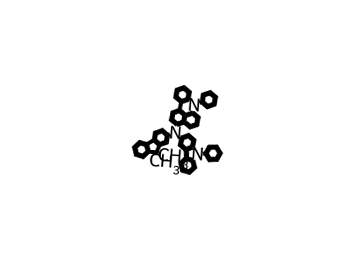 CC1(C)c2ccccc2-c2ccc(N(c3ccc4c(c3)c3ccccc3n4-c3ccccc3)c3ccc4c5c(cccc35)N(c3ccccc3)c3ccccc3-4)cc21